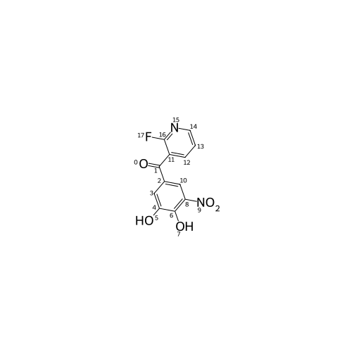 O=C(c1cc(O)c(O)c([N+](=O)[O-])c1)c1cccnc1F